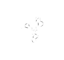 COc1cccc(C2CN(c3ncc4sccc4n3)CC(c3cccc4[nH]ncc34)O2)c1